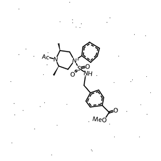 COC(=O)c1ccc(CNS(=O)(=O)[N+]2(c3ccccc3)C[C@@H](C)N(C(C)=O)[C@@H](C)C2)cc1